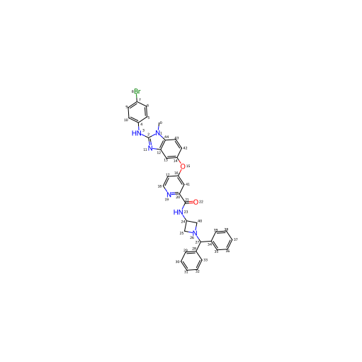 Cn1c(Nc2ccc(Br)cc2)nc2cc(Oc3ccnc(C(=O)NC4CN(C(c5ccccc5)c5ccccc5)C4)c3)ccc21